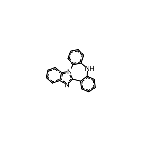 c1ccc2c(c1)Nc1ccccc1-n1c-2nc2ccccc21